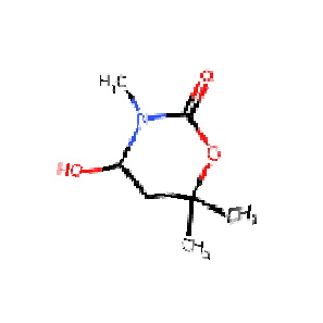 CN1C(=O)OC(C)(C)CC1O